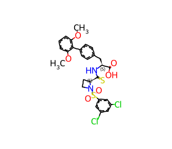 COc1cccc(OC)c1-c1ccc(C[C@H](NC(=S)[C@@H]2CCN2S(=O)(=O)c2cc(Cl)cc(Cl)c2)C(=O)O)cc1